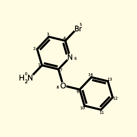 Nc1ccc(Br)nc1Oc1ccccc1